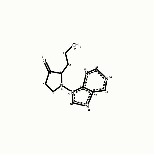 CCCC1C(=O)CCN1n1cnc2cncnc21